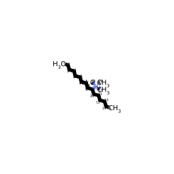 CCCCCCCCCC(CCCCCC)[N+](C)(C)C